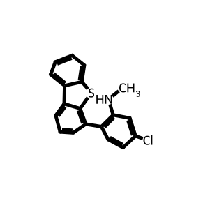 CNc1cc(Cl)ccc1-c1cccc2c1sc1ccccc12